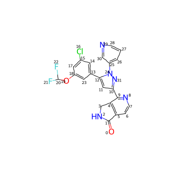 O=C1NCc2c1ccnc2-c1cc(-c2cc(Cl)cc(OC(F)F)c2)n(-c2cccnc2)n1